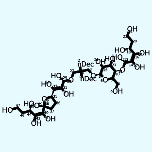 CCCCCCCCCCC(CCCCCCCCCC)(CO[C@@H]1OC(CO)[C@@H](O[C@@H](O)/C(O)=C(/O)[C@H](O)CCO)C(O)C1O)CO[C@H](O)/C(O)=C(\O)[C@H]1CC[C@](O)(/C(O)=C(/O)[C@H](O)CCO)O1